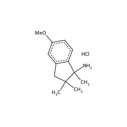 COc1ccc2c(c1)CC(C)(C)C2(C)N.Cl